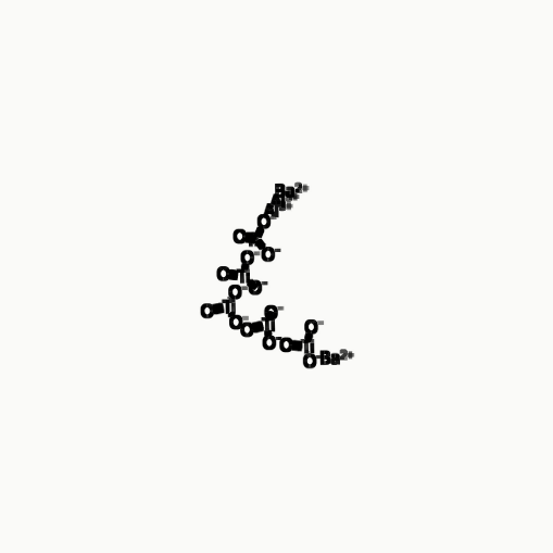 [Al+3].[Al+3].[Ba+2].[Ba+2].[O]=[Ti]([O-])[O-].[O]=[Ti]([O-])[O-].[O]=[Ti]([O-])[O-].[O]=[Ti]([O-])[O-].[O]=[Ti]([O-])[O-]